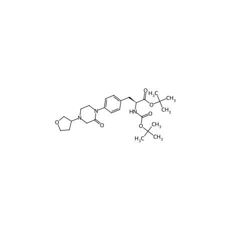 CC(C)(C)OC(=O)N[C@@H](Cc1ccc(N2CCN(C3CCOC3)CC2=O)cc1)C(=O)OC(C)(C)C